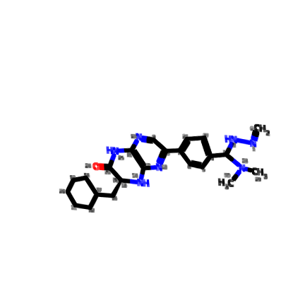 C=NNC(c1ccc(-c2cnc3c(n2)N[C@@H](CC2CCCCC2)C(=O)N3)cc1)N(C)C